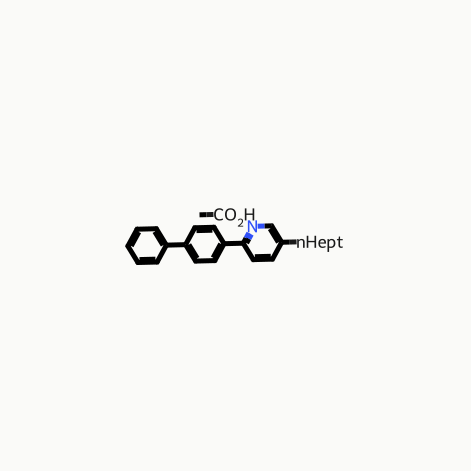 CC(=O)O.CCCCCCCc1ccc(-c2ccc(-c3ccccc3)cc2)nc1